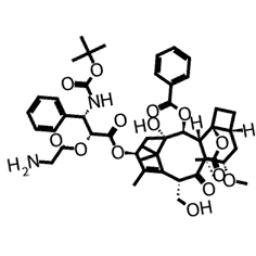 CO[C@H]1C[C@H]2CC[C@@]2(OC(C)=O)[C@H]2[C@H](OC(=O)c3ccccc3)[C@]3(O)C[C@H](OC(=O)[C@H](OC(=O)CN)[C@@H](NC(=O)OC(C)(C)C)c4ccccc4)C(C)=C([C@@H](CO)C(=O)[C@]12C)C3(C)C